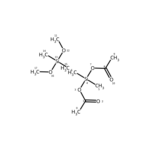 CC(=O)O[Si](C)(C)OC(C)=O.CO[Si](C)(C)OC